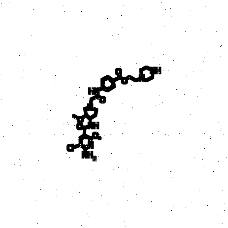 COc1nc(N)c(Cl)cc1C(=O)N[C@@H]1CCN(CC(=O)Nc2ccc(C(=O)OCCN3CCNCC3)cc2)C[C@@H]1OC